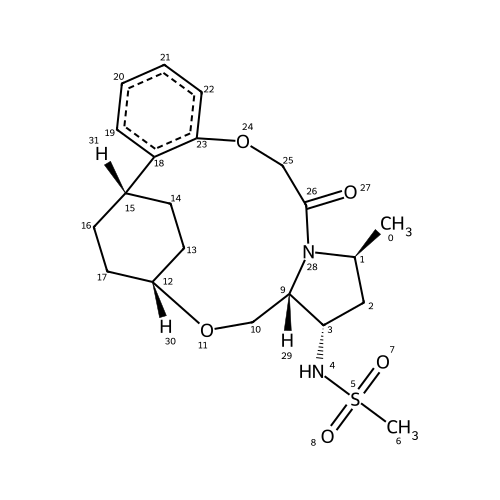 C[C@H]1C[C@H](NS(C)(=O)=O)[C@@H]2CO[C@H]3CC[C@H](CC3)c3ccccc3OCC(=O)N12